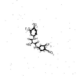 CCCCC(C(=O)Nc1ccc([N+](=O)[O-])c(C(F)(F)F)c1)C(=O)Nc1ccc([N+](=O)[O-])c(C(F)(F)F)c1